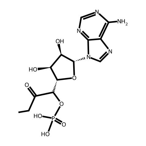 CCC(=O)C(OP(=O)(O)O)[C@H]1O[C@@H](n2cnc3c(N)ncnc32)[C@H](O)[C@@H]1O